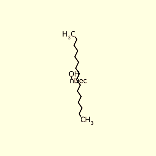 CCCCCCCCCCCCCCCC.CCCCCCCCCCO